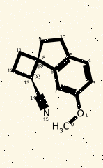 COc1ccc2c(c1)[C@@]1(CC2)CC[C@@H]1C#N